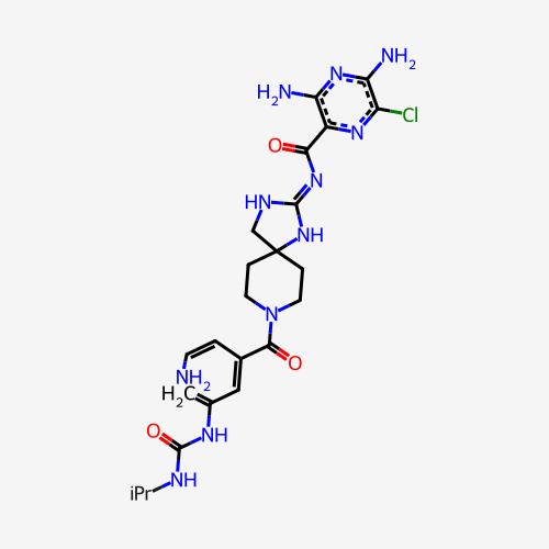 C=C(/C=C(\C=C/N)C(=O)N1CCC2(CC1)CN/C(=N\C(=O)c1nc(Cl)c(N)nc1N)N2)NC(=O)NC(C)C